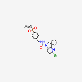 CNS(=O)(=O)c1ccc(CNC(=O)N2CC3(CCCC3)c3nc(Br)ccc32)cc1